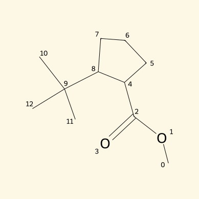 COC(=O)C1CCCC1C(C)(C)C